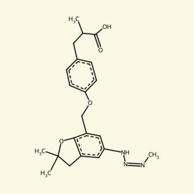 C/N=N\Nc1cc(COc2ccc(CC(C)C(=O)O)cc2)c2c(c1)CC(C)(C)O2